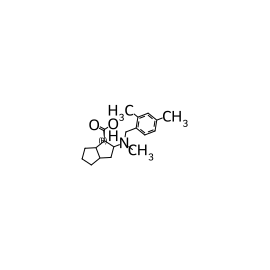 Cc1ccc(CN(C)C2CC3CCCC3[C@H]2C(=O)O)c(C)c1